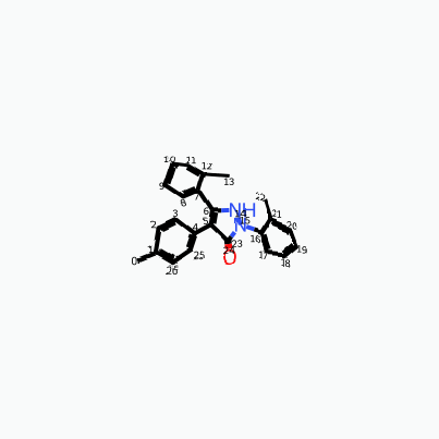 Cc1ccc(-c2c(-c3ccccc3C)[nH]n(-c3ccccc3C)c2=O)cc1